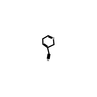 N#CC1=CCC=NC1